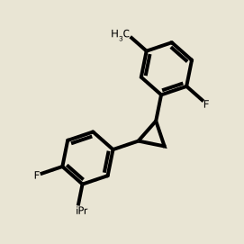 Cc1ccc(F)c(C2CC2c2ccc(F)c(C(C)C)c2)c1